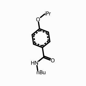 CCCCNC(=O)c1ccc(OC(C)C)cc1